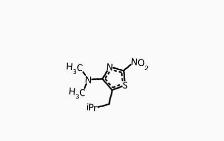 CC(C)Cc1sc([N+](=O)[O-])nc1N(C)C